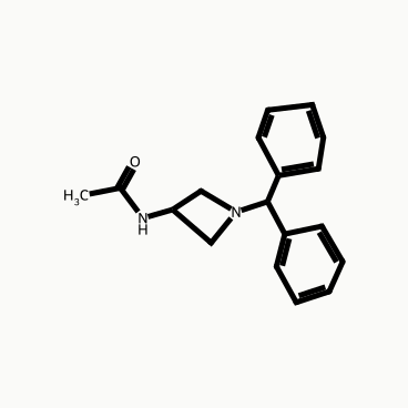 CC(=O)NC1CN(C(c2ccccc2)c2ccccc2)C1